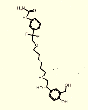 NC(=O)Nc1cccc(C(F)(F)COCCCCCCNC[C@@H](O)c2ccc(O)c(CO)c2)c1